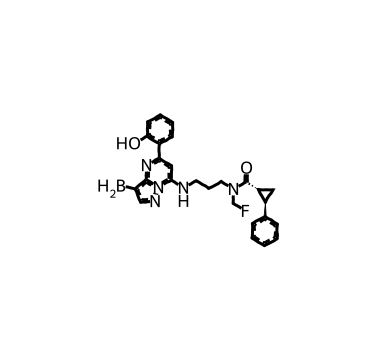 Bc1cnn2c(NCCCN(CF)C(=O)[C@@H]3C[C@H]3c3ccccc3)cc(-c3ccccc3O)nc12